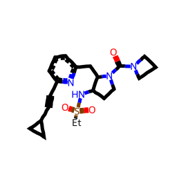 CCS(=O)(=O)NC1CCN(C(=O)N2CCC2)C1Cc1cccc(C#CC2CC2)n1